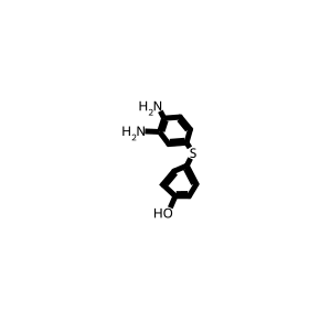 Nc1ccc(Sc2ccc(O)cc2)cc1N